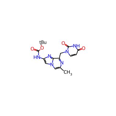 Cc1cn2cc(NC(=O)OC(C)(C)C)nc2c(Cn2ccc(=O)[nH]c2=O)n1